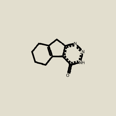 O=c1[nH]nnc2c1C1=C(CCCC1)C2